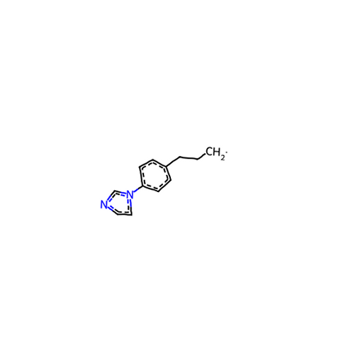 [CH2]CCc1ccc(-n2ccnc2)cc1